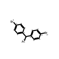 CC(=O)C(c1ccc(Br)cc1)c1ccc(Br)cc1